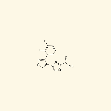 NC(=O)c1nc(-c2conc2-c2cccc(F)c2F)c[nH]1